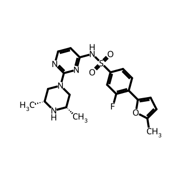 Cc1ccc(-c2ccc(S(=O)(=O)Nc3ccnc(N4C[C@@H](C)N[C@@H](C)C4)n3)cc2F)o1